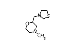 CN1CCOC(CN2CCSC2)C1